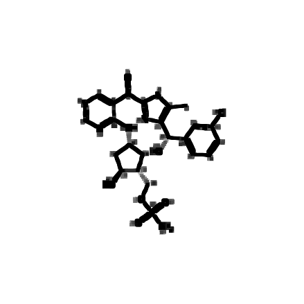 Cc1sc(C(=O)c2cncnc2N[C@@H]2C[C@H](COS(N)(=O)=O)[C@@H](O)C2)nc1[C@@H](O)c1cccc(Cl)c1